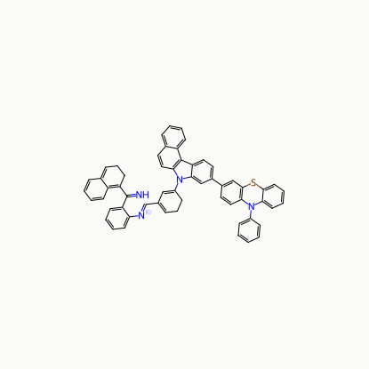 N=C(C1=c2ccccc2=CCC1)c1ccccc1/N=C/C1=CCCC(n2c3cc(-c4ccc5c(c4)Sc4ccccc4N5c4ccccc4)ccc3c3c4ccccc4ccc32)=C1